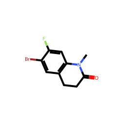 CN1C(=O)CCc2cc(Br)c(F)cc21